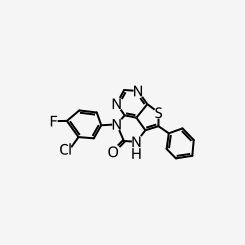 O=C1Nc2c(-c3ccccc3)sc3ncnc(c23)N1c1ccc(F)c(Cl)c1